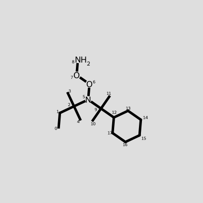 CCC(C)(C)N(OON)C(C)(C)C1CCCCC1